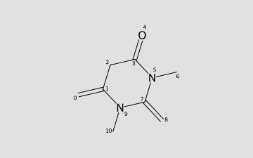 C=C1CC(=O)N(C)C(=C)N1C